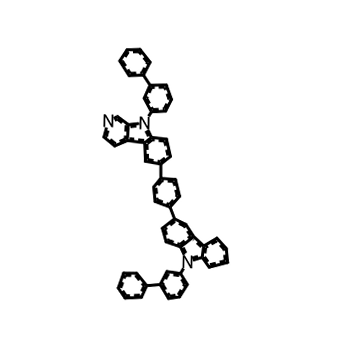 c1ccc(-c2cccc(-n3c4ccccc4c4cc(-c5ccc(-c6ccc7c(c6)c6ccncc6n7-c6cccc(-c7ccccc7)c6)cc5)ccc43)c2)cc1